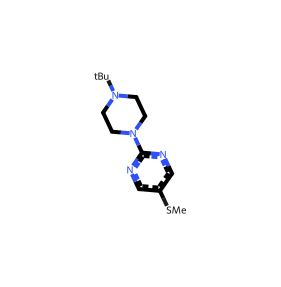 CSc1cnc(N2CCN(C(C)(C)C)CC2)nc1